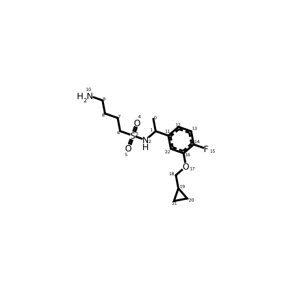 CC(NS(=O)(=O)CCCCN)c1ccc(F)c(OCC2CC2)c1